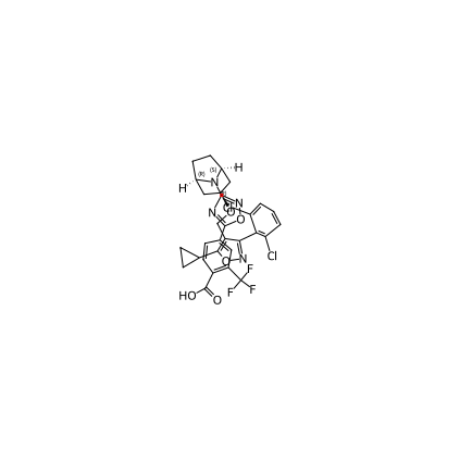 O=C(O)c1ccc(-c2nc(N3[C@@H]4CC[C@H]3C[C@@H](OCc3c(-c5c(Cl)cccc5Cl)noc3C3CC3)C4)no2)cc1C(F)(F)F